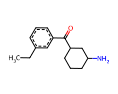 CCc1cccc(C(=O)C2CCCC(N)C2)c1